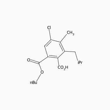 CCCCOC(=O)c1cc(Cl)c(C)c(CC(C)C)c1C(=O)O